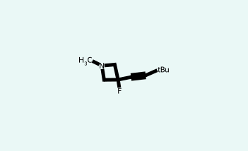 CN1CC(F)(C#CC(C)(C)C)C1